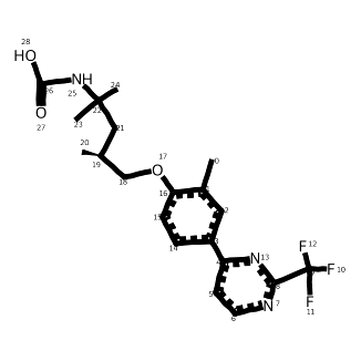 Cc1cc(-c2ccnc(C(F)(F)F)n2)ccc1OC[C@@H](C)CC(C)(C)NC(=O)O